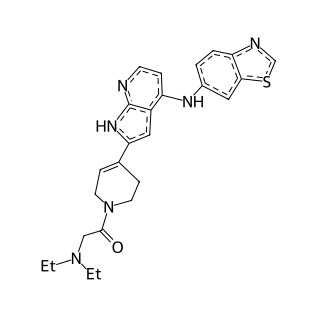 CCN(CC)CC(=O)N1CC=C(c2cc3c(Nc4ccc5ncsc5c4)ccnc3[nH]2)CC1